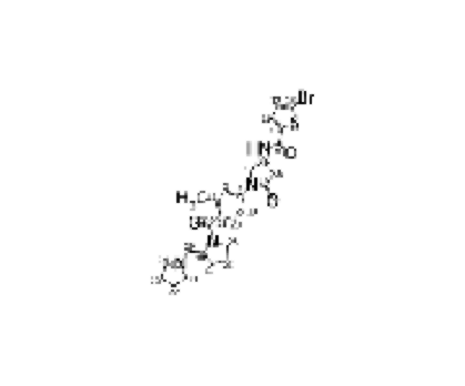 Cc1cc(N2C[C@H](NC(=O)c3ccc(Br)s3)CC2=O)ccc1C(=O)N1CCC[C@H]1CN1CCCC1